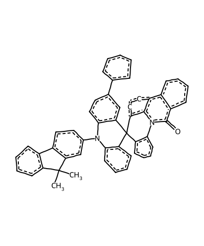 CC1(C)c2ccccc2-c2ccc(N3c4ccccc4C4(c5cc(-c6ccccc6)ccc53)c3ccccc3-n3c(=O)c5ccccc5c5cccc4c53)cc21